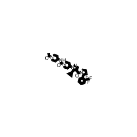 CC(=O)N1CCC(NC(=O)N2CCC(n3ncc(C(=O)N4CCCC4c4ccccc4C(F)(F)F)c3C3CC3)CC2)CC1